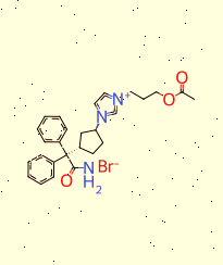 CC(=O)OCCC[n+]1ccn([C@H]2CC[C@H](C(C(N)=O)(c3ccccc3)c3ccccc3)C2)c1.[Br-]